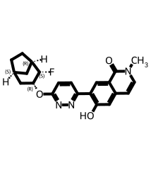 Cn1ccc2cc(O)c(-c3ccc(O[C@@H]4C[C@H]5CC[C@H](C5)[C@@H]4F)nn3)cc2c1=O